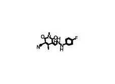 CC1=C(C#N)C(=O)N(C)C(O)/C1=C\NNc1ccc(F)cc1